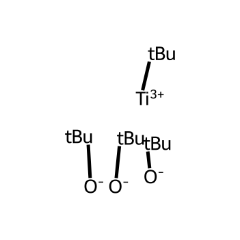 CC(C)(C)[O-].CC(C)(C)[O-].CC(C)(C)[O-].C[C](C)(C)[Ti+3]